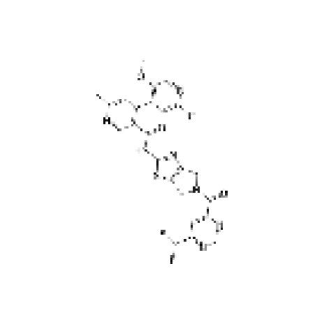 COc1cnc(Cl)cc1-c1cc(C)ncc1C(=O)Nc1nc2c(s1)CN(C(=O)c1cc(C(F)F)ncn1)C2